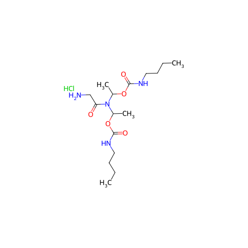 CCCCNC(=O)OC(C)N(C(=O)CN)C(C)OC(=O)NCCCC.Cl